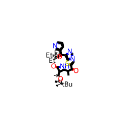 CC[Si](CC)(CC)OC(c1cccnc1)c1ncn2cc(C(=O)C(C)C3NC(=O)C3[C@@H](C)O[Si](C)(C)C(C)(C)C)sc12